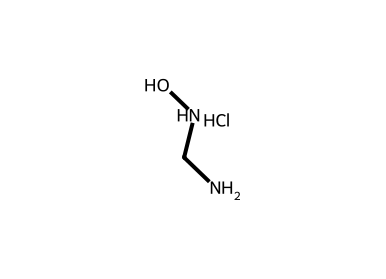 Cl.NCNO